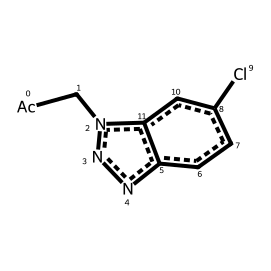 CC(=O)Cn1nnc2ccc(Cl)cc21